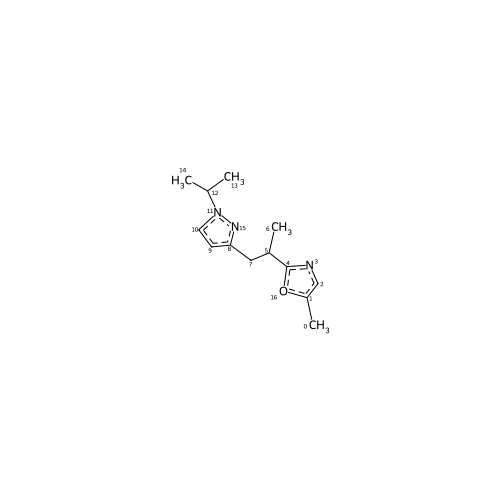 Cc1cnc(C(C)Cc2ccn(C(C)C)n2)o1